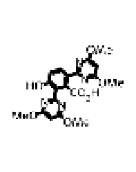 COc1cc(OC)nc(-c2ccc(O)c(-c3nc(OC)cc(OC)n3)c2C(=O)O)n1